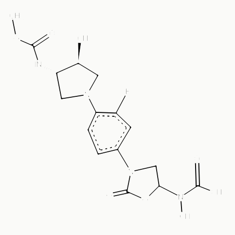 COC(=O)N[C@H]1CN(c2ccc(N3CC(N(C)C(C)=O)OC3=O)cc2F)C[C@@H]1C